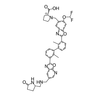 Cc1c(-c2nc3cc(CN4CCC[C@H]4C(=O)O)c(OC(F)F)cc3o2)cccc1-c1cccc(-c2nc3cc(CNCC4CCC(=O)N4)cnc3o2)c1C